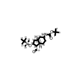 CC(C)(C)OC(=O)NC1CC[C@@H]2[C@@H](C1)C[C@@H](O[Si](C)(C)C(C)(C)C)[C@H]2C=O